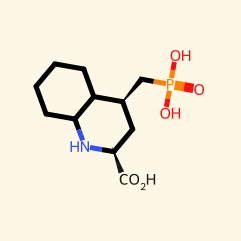 O=C(O)[C@@H]1C[C@H](CP(=O)(O)O)C2CCCCC2N1